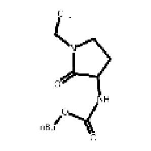 CCCCOC(=O)NC1CCN(CC(F)(F)F)C1=O